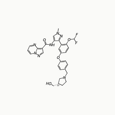 Cn1cc(NC(=O)c2cnn3cccnc23)c(-c2cc(Oc3ccc(CN4CC[C@H](CO)C4)cc3)ccc2OC(F)F)n1